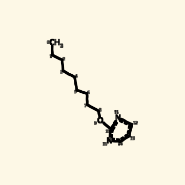 CCCCCCCCCOc1ncccn1